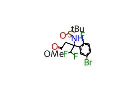 COC(=O)CC(N[S+]([O-])C(C)(C)C)(c1cc(Br)ccc1F)C(F)F